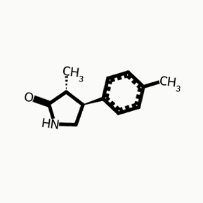 Cc1ccc([C@H]2CNC(=O)[C@@H]2C)cc1